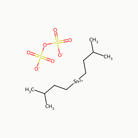 CC(C)C[CH2][Sn+2][CH2]CC(C)C.O=S(=O)([O-])OS(=O)(=O)[O-]